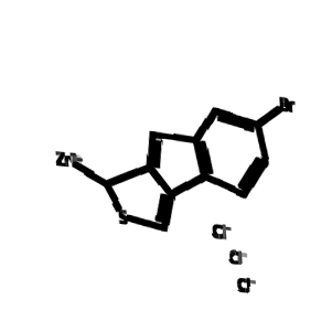 Brc1ccc2c(c1)C=C1C2=CS[CH]1[Zr+3].[Cl-].[Cl-].[Cl-]